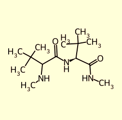 CNC(=O)[C@@H](NC(=O)C(NC)C(C)(C)C)C(C)(C)C